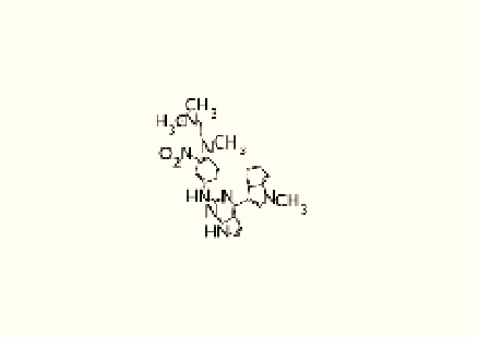 CN(C)CCN(C)c1ccc(Nc2nc(-c3cn(C)c4ccccc34)c3cc[nH]c3n2)cc1[N+](=O)[O-]